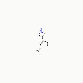 C=C/C(=C\C=C(C)C)C1CNC1